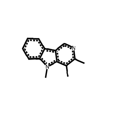 Cc1ncc2c3ccccc3n(C)c2c1C